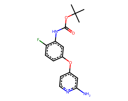 CC(C)(C)OC(=O)Nc1cc(Oc2ccnc(N)c2)ccc1F